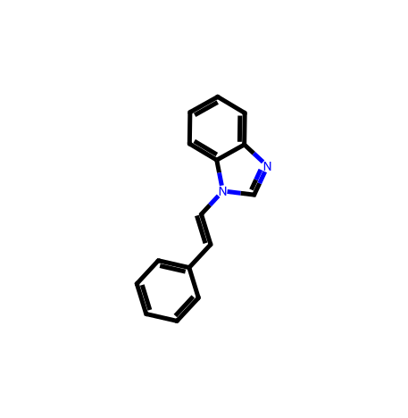 C(=Cn1cnc2ccccc21)c1ccccc1